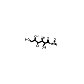 O=C(N=S(=O)=O)C(O)C(O)C(O)C(O)CO